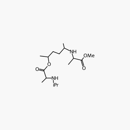 COC(=O)C(C)NC(C)CCC(C)OC(=O)C(C)NC(C)C